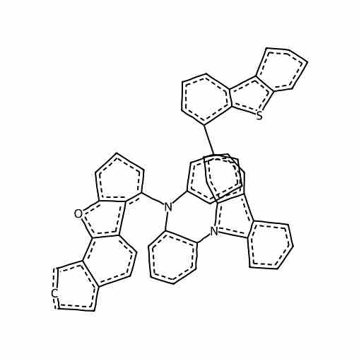 c1cc(-c2cccc3c2sc2ccccc23)cc(N(c2ccccc2-n2c3ccccc3c3ccccc32)c2cccc3oc4c5ccccc5ccc4c23)c1